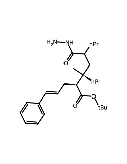 CCCC(C[C@](C)(CCC)[C@H](C/C=C/c1ccccc1)C(=O)OC(C)(C)C)C(=O)NN